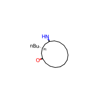 CCCC[C@@H]1CC(=N)CCCCCCCCCCCC(=O)C1